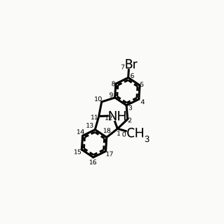 CC12Cc3ccc(Br)cc3CC(N1)c1ccccc12